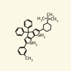 Cc1cccc(C2=CC3=C([SiH2]2)C2=C(C=C(C4CCCC([Si](C)(C)C)C4)[SiH2]2)C3(c2ccccc2)c2ccccc2)c1